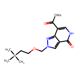 COC(=O)c1c[nH]c(=O)c2cn(COCC[Si](C)(C)C)nc12